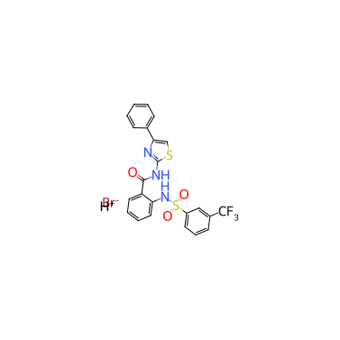 O=C(Nc1nc(-c2ccccc2)cs1)c1ccccc1NS(=O)(=O)c1cccc(C(F)(F)F)c1.[Br-].[H+]